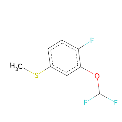 CSc1ccc(F)c(OC(F)F)c1